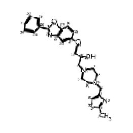 Cc1nc(CN2CCN(CC(O)COc3ccc4oc(-c5ccccc5)nc4c3)CC2)cs1